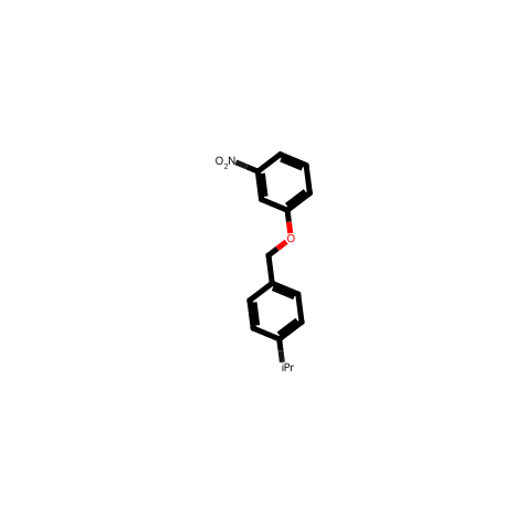 CC(C)c1ccc(COc2cccc([N+](=O)[O-])c2)cc1